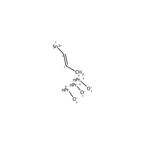 CC=[CH][Sn+3].CCC[O-].CCC[O-].CCC[O-]